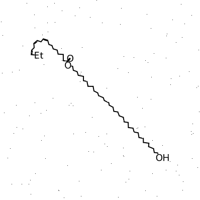 CC/C=C\C/C=C\C/C=C\CCCCCCCC(=O)OCCCCCCCCCCCCCCCCCCCCCCCCCCCCCCCCCCCO